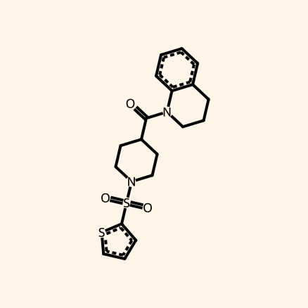 O=C(C1CCN(S(=O)(=O)c2cccs2)CC1)N1CCCc2ccccc21